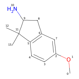 COc1ccc2c(c1)CC(N)C2(C)C